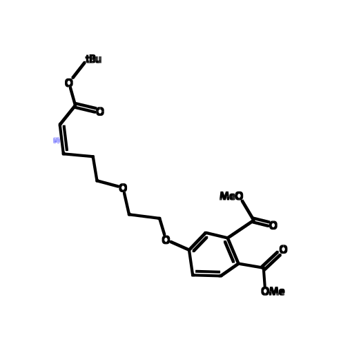 COC(=O)c1ccc(OCCOCC/C=C\C(=O)OC(C)(C)C)cc1C(=O)OC